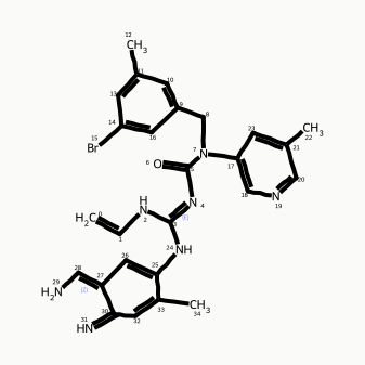 C=CN/C(=N\C(=O)N(Cc1cc(C)cc(Br)c1)c1cncc(C)c1)NC1=C/C(=C/N)C(=N)C=C1C